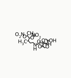 CC(CCNC(=O)O[C@@H]1CO[C@H]2[C@@H]1OC[C@H]2O)C(O[N+](=O)[O-])C(C)O[N+](=O)[O-]